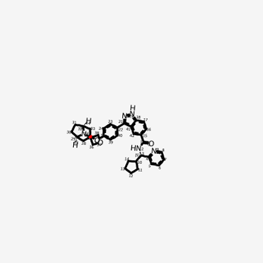 O=C(N[C@H](c1ccccn1)C1CCCC1)c1ccc2[nH]nc(-c3ccc(OC4C[C@H]5CC[C@@H](C4)N5C4COC4)cc3)c2c1